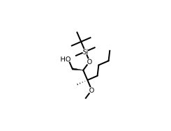 CCCC[C@@](C)(OC)[C@@H](CO)O[Si](C)(C)C(C)(C)C